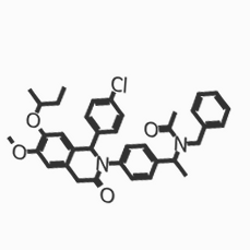 CCC(C)Oc1cc2c(cc1OC)CC(=O)N(c1ccc(C(C)N(Cc3ccccc3)C(C)=O)cc1)C2c1ccc(Cl)cc1